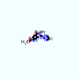 C=CC(=O)Nc1ccc(C(=O)N(CCC)CCNc2ncc(Cl)cn2)cc1